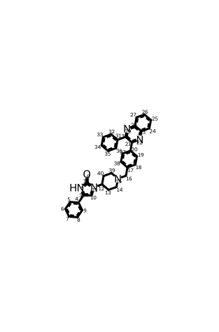 O=c1[nH]c(-c2ccccc2)cn1C1CCN(Cc2ccc(-c3nc4ccccc4nc3-c3ccccc3)cc2)CC1